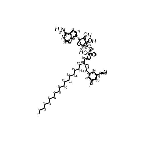 CCCCCCCCCCCCCCCCCC[C@@H](COP(=O)(O)O[C@H]1[C@]2(O)[C@@H](O)[C@@H](c3ccc4c(N)ncnn34)O[C@]12C)OCc1cc(F)cc(C#N)c1